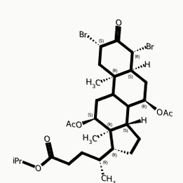 CC(=O)O[C@H]1CC2C([C@H](OC(C)=O)C[C@@H]3[C@@H](Br)C(=O)[C@@H](Br)C[C@]23C)[C@@H]2CC[C@H]([C@H](C)CCC(=O)OC(C)C)[C@@]12C